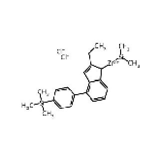 CCC1=Cc2c(-c3ccc([Si](C)(C)C)cc3)cccc2[CH]1[Zr+2][Si](C)C.[Cl-].[Cl-]